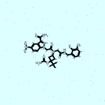 CC(C)(C)C1(OC(N)=O)CC(N(CC(=O)NCc2cccc(Cl)c2F)C(=O)Cn2nc(C(N)=O)c3cc([N+](=O)[O-])ccc32)C1